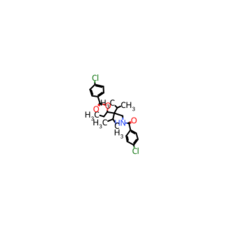 CCC(OC(=O)c1ccc(Cl)cc1)C(CNC(=O)c1ccc(Cl)cc1)(C(C)C)C(C)C